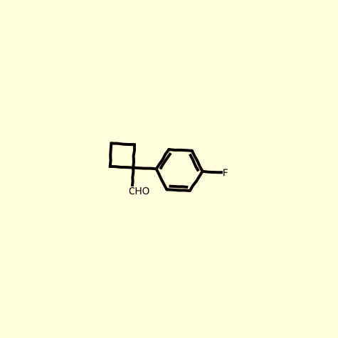 O=CC1(c2ccc(F)cc2)CCC1